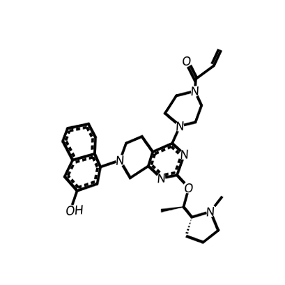 C=CC(=O)N1CCN(c2nc(O[C@H](C)[C@H]3CCCN3C)nc3c2CCN(c2cc(O)cc4ccccc24)C3)CC1